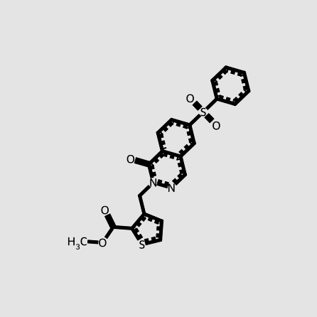 COC(=O)c1sccc1Cn1ncc2cc(S(=O)(=O)c3ccccc3)ccc2c1=O